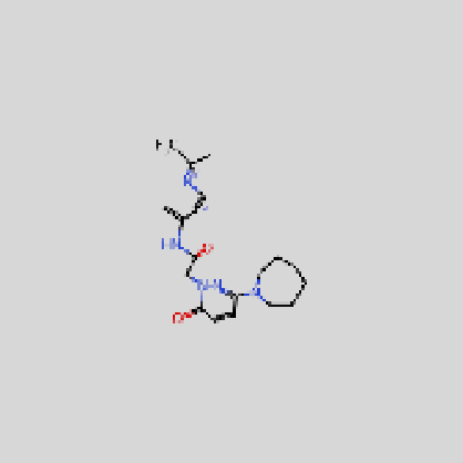 C=C(/C=C\N=C(/C)C(F)(F)F)NC(=O)Cn1nc(N2CCCCCC2)ccc1=O